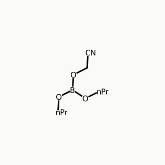 CCCOB(OCC#N)OCCC